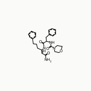 NC(=O)C=C(CCCc1ccccc1)NC(=O)C(Cc1ccccc1)NC(=O)N1CCOCC1